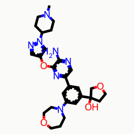 CN1CCC(n2cc(Oc3nc(-c4cc(N5CCCOCC5)cc(C5(O)CCOC5)c4)cnc3N)cn2)CC1